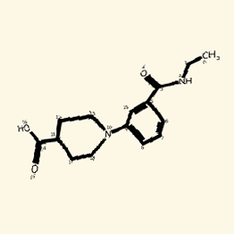 CCNC(=O)c1cccc(N2CCC(C(=O)O)CC2)c1